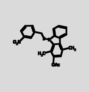 CC(=O)Oc1cc(C)c2c3ccccc3n(SCc3cccc([N+](=O)[O-])c3)c2c1C